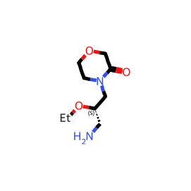 CCO[C@@H](CN)CN1CCOCC1=O